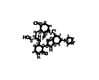 Cc1cc(-n2ccnc2)cc2[nH]c(-c3c(N[C@H](CO)Cc4c(F)cccc4Cl)cc[nH]c3=O)nc12